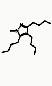 CCCCc1nn(C)c(CCCC)c1CCCC